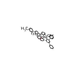 Cc1ccc(-c2ccc3c(c2)c2ccccc2n3-c2cccc3c2C(=O)N(c2c(-c4ccccc4)cc(-c4ccccc4)cc2-c2ccccc2)C3O)c(C)c1